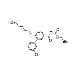 CCCCCCCCCCCCCCOc1ccc(C(=O)OC(=O)OCC(C)CC)cc1-c1cccc(Cl)c1